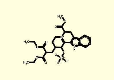 CCOC(=O)C(CC1CC[N+]2=C(c3[nH]c4ccccc4c3CC2C(=O)OC)C1O[Cl+3]([O-])([O-])[O-])C(=O)OCC